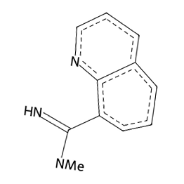 CNC(=N)c1cccc2cccnc12